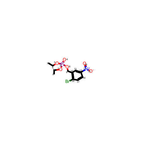 CCOP(=O)(OCC)OCc1cc([N+](=O)[O-])ccc1Br